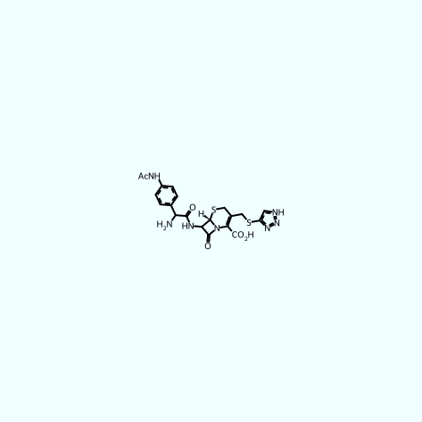 CC(=O)Nc1ccc(C(N)C(=O)NC2C(=O)N3C(C(=O)O)=C(CSc4c[nH]nn4)CS[C@@H]23)cc1